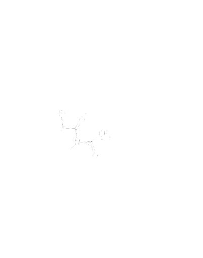 CN(C(=O)CF)C(=O)C(F)(F)F